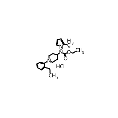 CCOC(=O)N(C1CCN(c2ccccc2CC)CC1)n1cccc1C.Cl